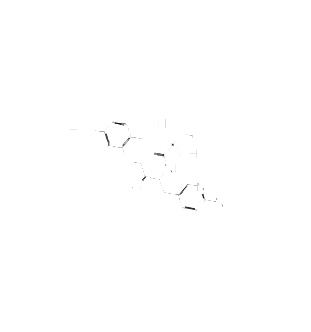 COC(C)(C)C(=O)NC(Cc1ccc(N)nc1)C(=O)COc1c(F)ccc(C)c1F